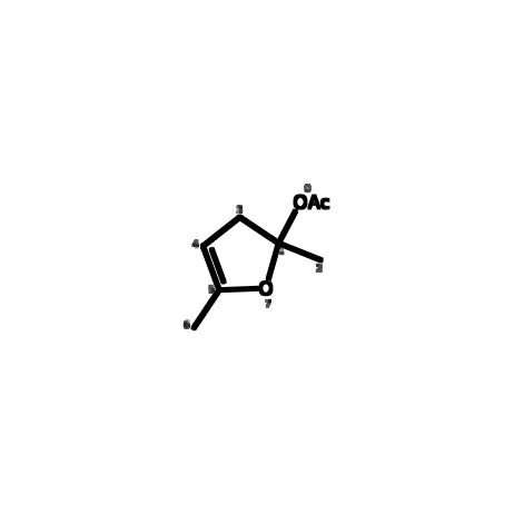 CC(=O)OC1(C)CC=C(C)O1